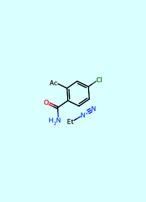 CC(=O)c1cc(Cl)ccc1C(N)=O.CC[N+]#N